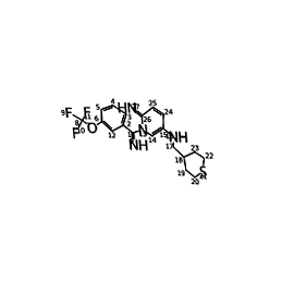 N=C(c1cccc(OC(F)(F)F)c1)n1cc(NCC2CCSCC2)ccc1=N